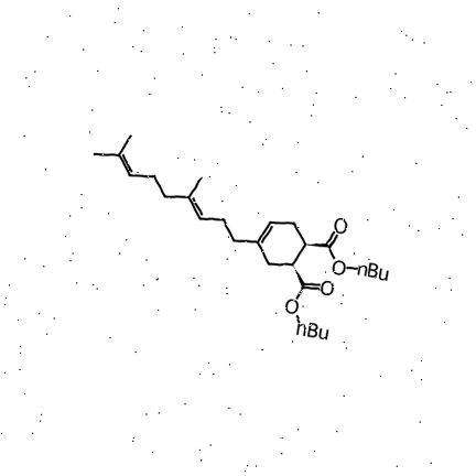 CCCCOC(=O)[C@H]1CC(CC/C=C(\C)CCC=C(C)C)=CC[C@H]1C(=O)OCCCC